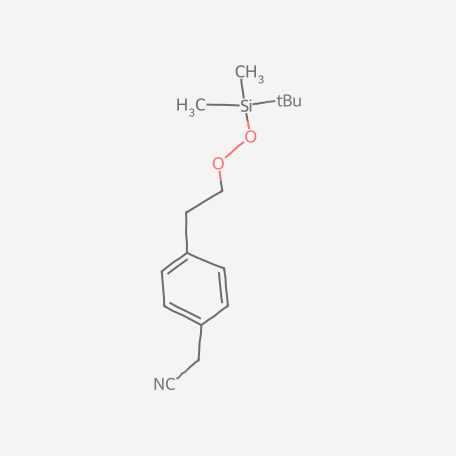 CC(C)(C)[Si](C)(C)OOCCc1ccc(CC#N)cc1